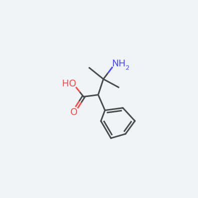 CC(C)(N)C(C(=O)O)c1ccccc1